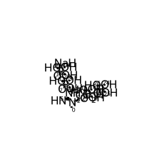 CN(CC(=O)O)C(=N)N.O=P(O)(O)O.O=P(O)(O)O.O=P(O)(O)O.O=P(O)(O)O.[NaH]